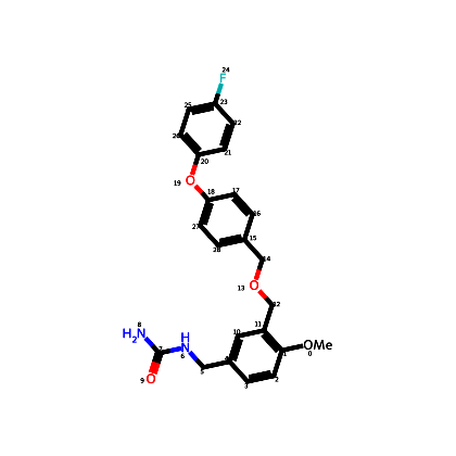 COc1ccc(CNC(N)=O)cc1COCc1ccc(Oc2ccc(F)cc2)cc1